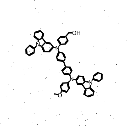 COc1ccc(N(c2ccc(-c3ccc(N(c4ccc(CO)cc4)c4ccc5c(c4)c4ccccc4n5-c4ccccc4)cc3)cc2)c2ccc3c(c2)c2ccccc2n3-c2ccccc2)cc1